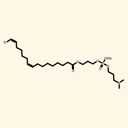 CC/C=C\CCCC/C=C\CCCCCCCC(=O)OCCCOP(=O)(OC)OCCCN(C)C